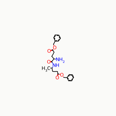 CC(CCC(=O)OCc1ccccc1)NC(=O)C(N)CCC(=O)OCc1ccccc1